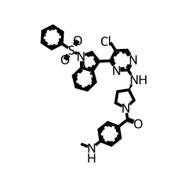 CNc1ccc(C(=O)N2CC[C@@H](Nc3ncc(Cl)c(-c4cn(S(=O)(=O)c5ccccc5)c5ccccc45)n3)C2)cc1